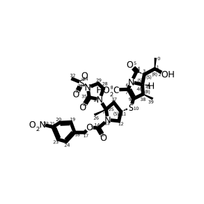 C[C@@H](O)[C@H]1C(=O)N2C(C(=O)O)=C(S[C@@H]3CN(C(=O)OCc4ccc([N+](=O)[O-])cc4)[C@](C)(N4CCN(S(C)(=O)=O)C4=O)C3)[C@H](C)[C@H]12